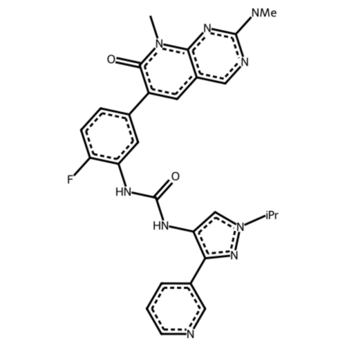 CNc1ncc2cc(-c3ccc(F)c(NC(=O)Nc4cn(C(C)C)nc4-c4cccnc4)c3)c(=O)n(C)c2n1